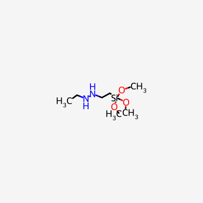 CCNNCC[Si](OC)(OC)OC